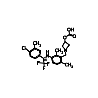 Cc1cc([C@H](Nc2ccc(C)c(CN3CC(OC(=O)O)C3)c2C)C(F)(F)F)ccc1Cl